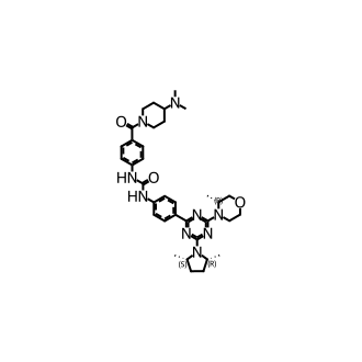 C[C@@H]1COCCN1c1nc(-c2ccc(NC(=O)Nc3ccc(C(=O)N4CCC(N(C)C)CC4)cc3)cc2)nc(N2[C@H](C)CC[C@@H]2C)n1